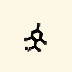 CC([O])c1c(Cl)cc(Cl)cc1Cl